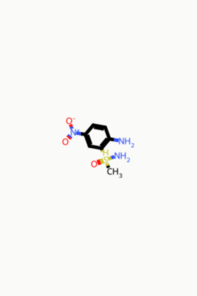 C[SH](N)(=O)c1cc([N+](=O)[O-])ccc1N